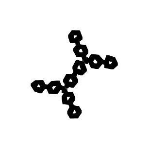 C1=C(c2ccc(N(c3ccc(-c4ccccc4)cc3)c3ccc(-c4ccccc4)cc3)cc2)CCC(N(c2ccc(-c3ccccc3)cc2)c2ccc(-c3ccccc3)cc2)=C1